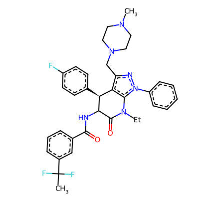 CCN1C(=O)C(NC(=O)c2cccc(C(C)(F)F)c2)[C@@H](c2ccc(F)cc2)c2c(CN3CCN(C)CC3)nn(-c3ccccc3)c21